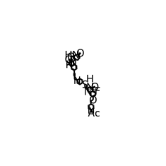 CC(=O)N1CCC(COc2cc(F)c3c(=O)[nH]c(CSC4CCN(CC#Cc5ccc6c(c5)n(C)c(=O)n6C5CCC(=O)NC5=O)CC4)nc3c2)CC1